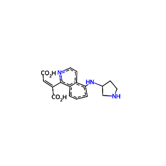 O=C(O)/C=C(/C(=O)O)c1nccc2c(NC3CCNC3)cccc12